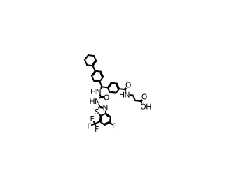 O=C(O)CCNC(=O)c1ccc(C(NC(=O)Nc2nc3cc(F)cc(C(F)(F)F)c3s2)c2ccc(C3=CCCCC3)cc2)cc1